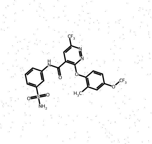 Cc1cc(OC(F)(F)F)ccc1Oc1nnc(C(F)(F)F)cc1C(=O)Nc1cccc(S(N)(=O)=O)c1